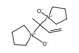 C=CC(C)([N+]1([O-])CCCC1)[N+]1([O-])CCCC1